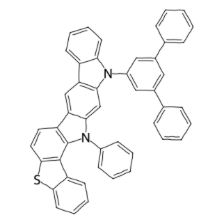 c1ccc(-c2cc(-c3ccccc3)cc(-n3c4ccccc4c4cc5c6ccc7sc8ccccc8c7c6n(-c6ccccc6)c5cc43)c2)cc1